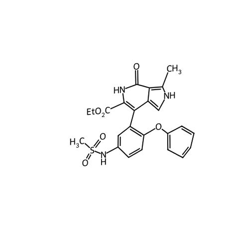 CCOC(=O)c1[nH]c(=O)c2c(C)[nH]cc2c1-c1cc(NS(C)(=O)=O)ccc1Oc1ccccc1